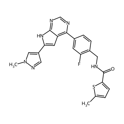 Cc1ccc(C(=O)NCc2ccc(-c3ncnc4[nH]c(-c5cnn(C)c5)cc34)cc2F)s1